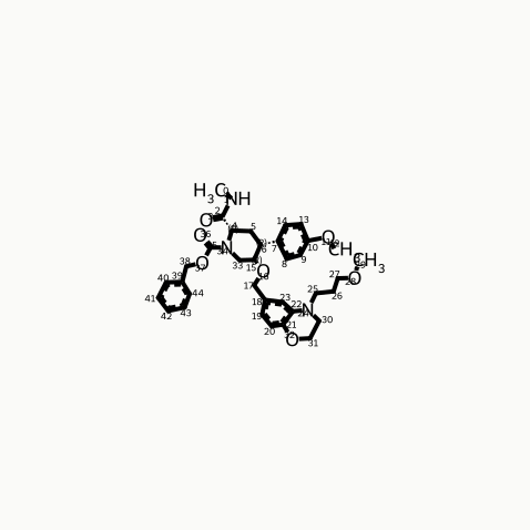 CNC(=O)[C@@H]1C[C@H](c2ccc(OC)cc2)[C@@H](OCc2ccc3c(c2)N(CCCOC)CCO3)CN1C(=O)OCc1ccccc1